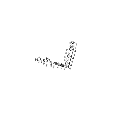 S.S.S.S.S.[SiH4].[SiH4].[SiH4].[SiH4].[SiH4].[SiH4].[SiH4].[SiH4].[SiH4].[SiH4]